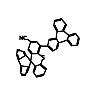 N#Cc1cc(-c2ccc3c4ccccc4c4ccccc4c3c2)c2c(c1)C1(c3ccccc3S2)c2ccccc2-c2ccccc21